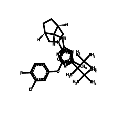 BC(B)(B)C(B)(n1nc(N[C@@H]2[C@@H]3CC[C@H]2CN(c2nc(C)no2)C3)nc1Oc1ccc(F)c(Cl)c1)C(B)(B)B